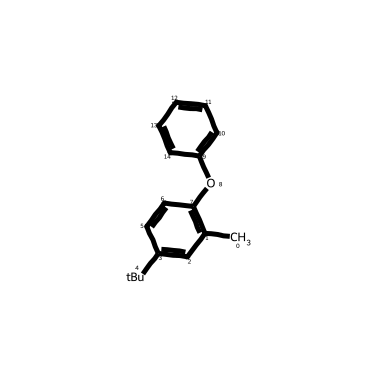 Cc1cc(C(C)(C)C)ccc1Oc1cc[c]cc1